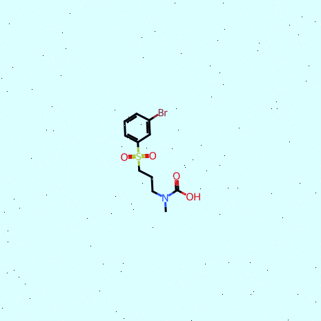 CN(CCCS(=O)(=O)c1cccc(Br)c1)C(=O)O